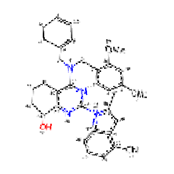 COc1ccc(CN(CC2=CC=CCC2)c2nc(-n3c(C)cc4c(C#N)cccc43)nc3c2CCCC3O)c(OC)c1